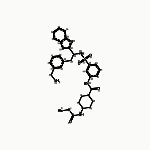 CC(C)(C)OC(=O)NC1CCC(C(=O)Nc2cccc(S(=O)(=O)NC(Cc3cccc([CH]N)c3)c3nc4ccccc4s3)c2)CC1